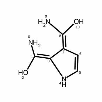 N/C(O)=c1/[nH]cc/c1=C(/N)O